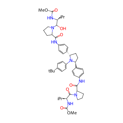 COC(=O)N[C@@H](C(C)C)C(O)N1CCCC1C(=O)Nc1ccc([C@@H]2CC[C@@H](c3ccc(NC(=O)C4CCCN4C(=O)[C@@H](NC(=O)OC)C(C)C)cc3)N2c2ccc(C(C)(C)C)cc2)cc1